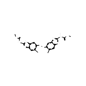 COC(=O)Nc1nc2cc(SSc3cc4nc(NC(=O)OC)[nH]c4cc3C)c(C)cc2[nH]1